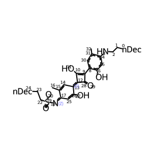 CCCCCCCCCCCCNc1cc(O)c(C2=C(O)/C(=C3C=C(C)/C(=N\S(=O)(=O)CCCCCCCCCCCC)C=C\3O)C2=O)cc1C